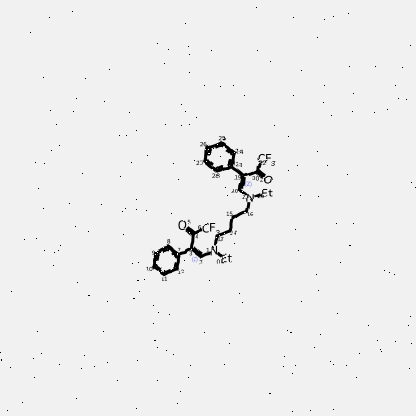 CCN(/C=C(\C(=O)C(F)(F)F)c1ccccc1)CCCCN(/C=C(\C(=O)C(F)(F)F)c1ccccc1)CC